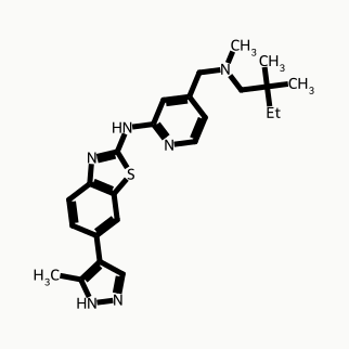 CCC(C)(C)CN(C)Cc1ccnc(Nc2nc3ccc(-c4cn[nH]c4C)cc3s2)c1